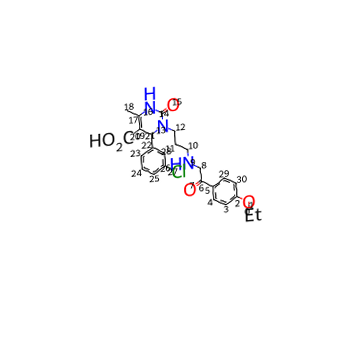 CCOc1ccc(C(=O)CNCCCN2C(=O)NC(C)=C(C(=O)O)C2c2cccc(Cl)c2)cc1